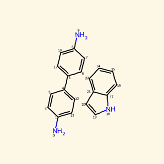 Nc1ccc(-c2ccc(N)cc2)cc1.c1ccc2[nH]ccc2c1